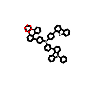 c1ccc(-c2ccccc2-c2c(-c3ccccc3)cccc2-c2ccc(N(c3ccc(-c4cccc5c4oc4ccccc45)cc3)c3cccc(-c4cccc5c4c4ccccc4n5-c4ccccc4)c3)cc2)cc1